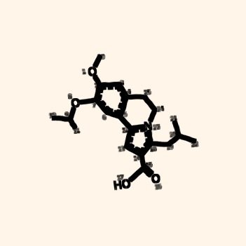 COc1cc2c(cc1OC(C)C)-c1cc(C(=O)O)c(CC(C)C)n1CC2